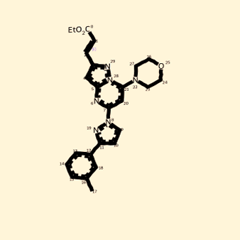 CCOC(=O)/C=C/c1cc2nc(-n3ccc(-c4cccc(C)c4)n3)cc(N3CCOCC3)n2n1